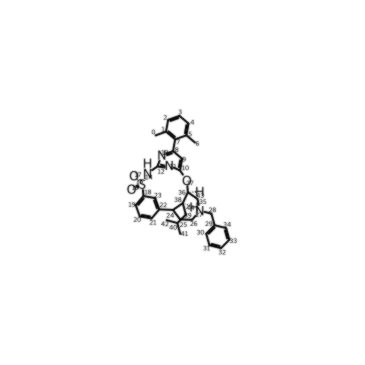 Cc1cccc(C)c1-c1cc2nc(n1)NS(=O)(=O)c1cccc(c1)C1CCN(Cc3ccccc3)C[C@H](O2)[C@H]1CC(C)C